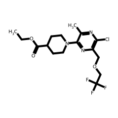 CCOC(=O)C1CCN(c2nc(COCC(F)(F)F)c(Cl)nc2C)CC1